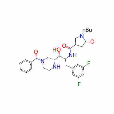 CCCCN1CC(C(=O)NC(Cc2cc(F)cc(F)c2)[C@H](O)[C@H]2CN(C(=O)c3ccccc3)CCN2)CC1=O